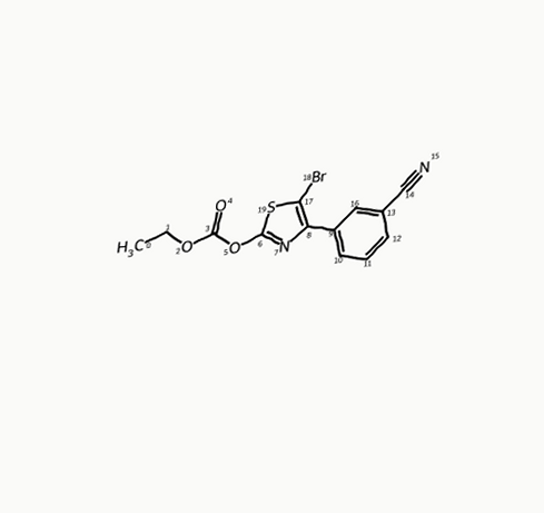 CCOC(=O)Oc1nc(-c2cccc(C#N)c2)c(Br)s1